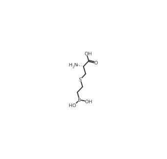 N[C@@H](CSCCB(O)O)C(=O)O